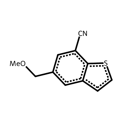 COCc1cc(C#N)c2sccc2c1